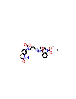 COC(=O)N(C)c1ccccc1C(=O)NCCCC1CN(c2ccc3c(c2)NC(=O)CS3)C(=O)O1